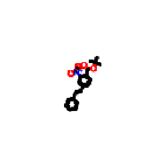 CC(C)(C)OC(=O)c1ccc(C=Cc2ccccc2)cc1[N+](=O)[O-]